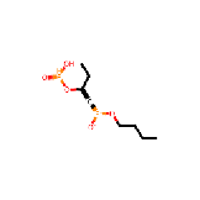 CCCCO[P+]([O-])=C=C(CC)O[PH](=O)O